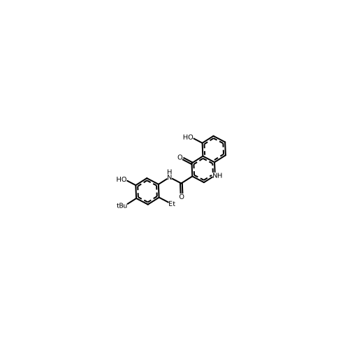 CCc1cc(C(C)(C)C)c(O)cc1NC(=O)c1c[nH]c2cccc(O)c2c1=O